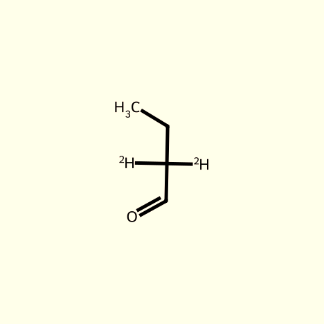 [2H]C([2H])(C=O)CC